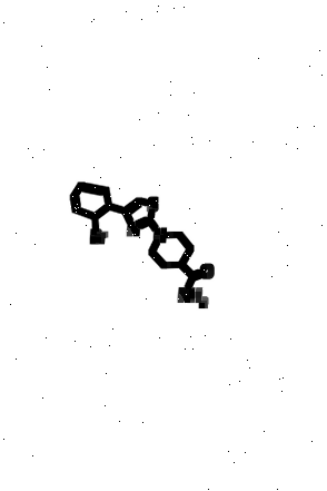 NC(=O)C1CCN(c2nc(C3C=CC=CC3Br)cs2)CC1